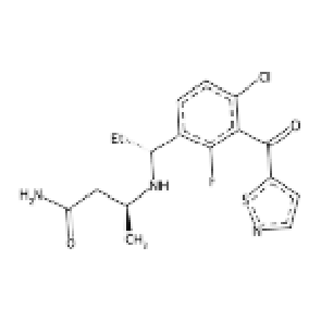 CC[C@@H](N[C@@H](C)CC(N)=O)c1ccc(Cl)c(C(=O)c2ccns2)c1F